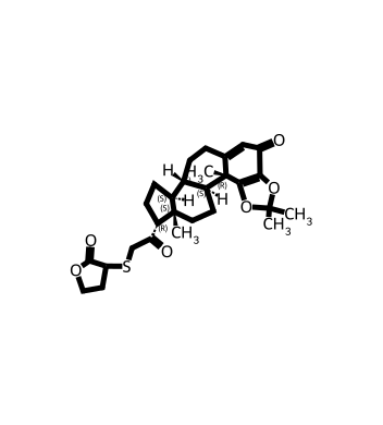 CC1(C)OC2=C(O1)[C@@]1(C)C(=CC2=O)CC[C@@H]2[C@@H]1CC[C@]1(C)[C@H](C(=O)CSC3CCOC3=O)CC[C@@H]21